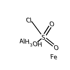 O=S(=O)(O)Cl.[AlH3].[Fe]